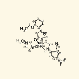 CCOc1ncccc1-c1ccc(C2(C(=O)N[C@H]3CCN(C)C3)CCN(c3ccc(C(F)F)cc3C#N)CC2)cn1